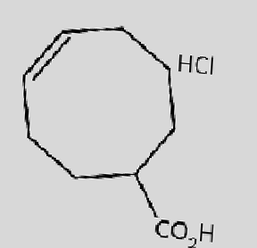 Cl.O=C(O)C1CCC=CCCC1